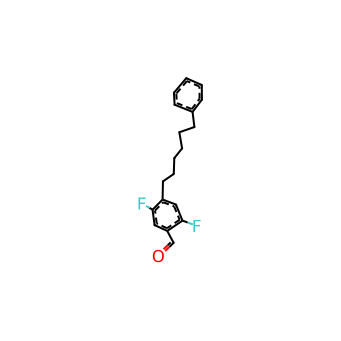 O=Cc1cc(F)c(CCCCCCc2ccccc2)cc1F